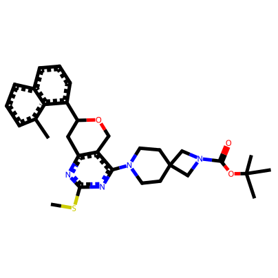 CSc1nc2c(c(N3CCC4(CC3)CN(C(=O)OC(C)(C)C)C4)n1)COC(c1cccc3cccc(C)c13)C2